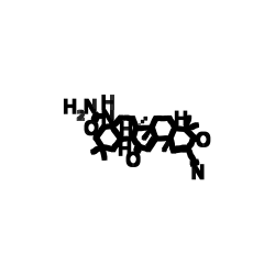 CC1(C)CC[C@]2(NC(N)=O)CC[C@]3(C)[C@H](C(=O)C=C4[C@@]5(C)C=C(C#N)C(=O)C(C)(C)[C@@H]5CC[C@]43C)[C@@H]2C1